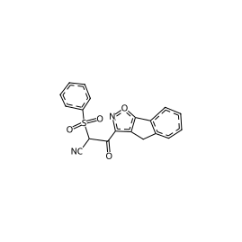 N#CC(C(=O)c1noc2c1Cc1ccccc1-2)S(=O)(=O)c1ccccc1